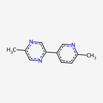 Cc1ccc(-c2cnc(C)cn2)cn1